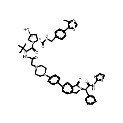 Cc1ncsc1-c1ccc(CNC(=O)[C@H]2C[C@H](O)CN2C(=O)[C@H](NC(=O)CN2CCN(c3ccc(-c4ccc5c(c4)C(=O)N(C(C(=O)Nc4nccs4)c4ccccc4)C5)cc3)CC2)C(C)(C)C)cc1